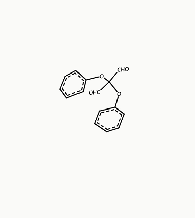 O=CC(C=O)(Oc1ccccc1)Oc1ccccc1